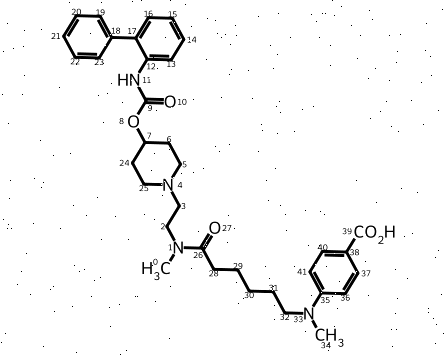 CN(CCN1CCC(OC(=O)Nc2ccccc2-c2ccccc2)CC1)C(=O)CCCCCN(C)c1ccc(C(=O)O)cc1